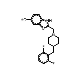 Oc1ccc2[nH]c(CN3CCC(Cc4c(F)cccc4F)CC3)nc2c1